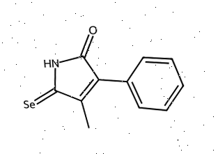 CC1=C(c2ccccc2)C(=O)NC1=[Se]